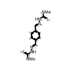 CNC(=S)N/N=C/c1ccc(/C=N/NC(=S)NC)cc1